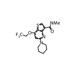 CNC(=O)c1csc2c(OCC(F)(F)F)cc(N3CC[CH]CC3)nc12